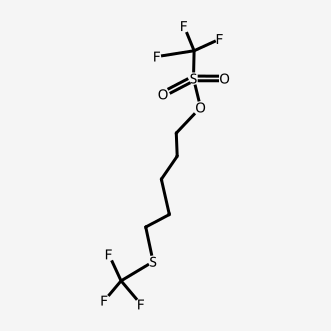 O=S(=O)(OCCCCCSC(F)(F)F)C(F)(F)F